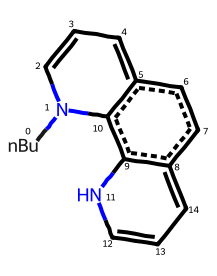 CCCCN1C=CC=c2ccc3c(c21)NC=CC=3